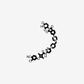 CC1C(Oc2ccc(C#N)c(Cl)c2)C(C)C1C(=O)Nc1ccc(N2CCC(CN3CCN(c4ccc5c(c4)C(=O)N(C4CCC(=O)NC4=O)C5=O)CC3)CC2)nn1